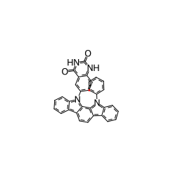 O=c1[nH]c(=O)c2cc(-n3c4ccccc4c4ccc5c6ccccc6n(-c6ccccc6)c5c43)ccc2[nH]1